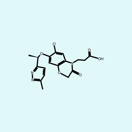 Cc1ccc([C@@H](C)Oc2cc3c(cc2Cl)N(CCC(=O)O)C(=O)CO3)nn1